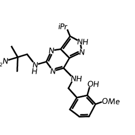 COc1cccc(CNc2nc(NCC(C)(C)N)nc3c(C(C)C)[nH]nc23)c1O